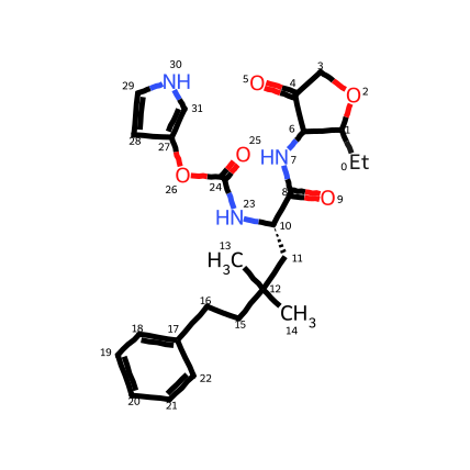 CCC1OCC(=O)C1NC(=O)[C@H](CC(C)(C)CCc1ccccc1)NC(=O)Oc1cc[nH]c1